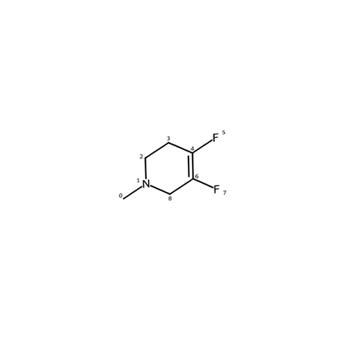 CN1CCC(F)=C(F)C1